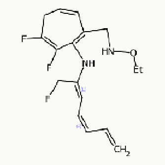 C=C/C=C\C=C(/CF)NC1=C(CNOCC)C=CCC(F)=C1F